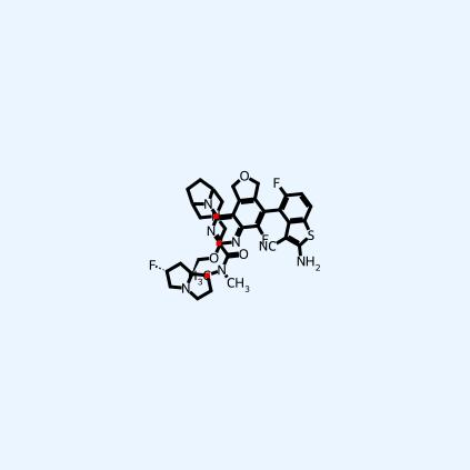 CN(C)C(=O)CCN1CC2CCC(C1)N2c1nc(OC[C@@]23CCCN2C[C@H](F)C3)nc2c(F)c(-c3c(F)ccc4sc(N)c(C#N)c34)c3c(c12)COC3